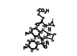 O=C(O)CCC(=O)N(C1CC1)[C@H]1c2ccc(F)cc2N(C(=O)c2ccc(F)cc2)[C@@H]2CC[C@@H]21